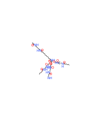 C=CC(=O)NCCCCCCNC(=O)CCCCCCCCCCC(=O)NC(COCCC(=O)NCCCNC(=O)CCCCC)(COCCC(=O)NCCCNC(=O)CCCCC)COCCC(=O)NCCCNC(=O)CCCNC